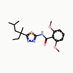 CCC(C)(CC(C)C)c1nnc(NC(=O)c2c(OC)cccc2OC)s1